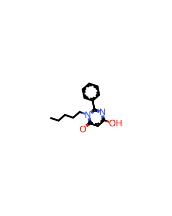 CCCCCn1c(-c2ccccc2)nc(O)cc1=O